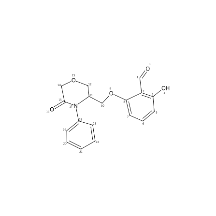 O=Cc1c(O)cccc1OCC1COCC(=O)N1c1ccccc1